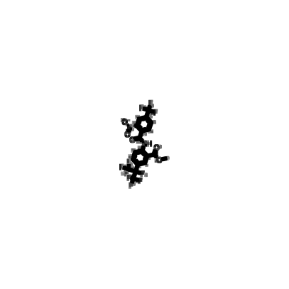 COC(=O)c1cc(C(F)(C(F)(F)F)C(F)(F)F)ccc1NC(=O)c1ccc(C(F)(F)F)cc1[N+](=O)[O-]